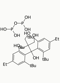 CCc1cc(C(C)(C)C)c(C(O)(c2c(C(C)(C)C)cc(CC)cc2C(C)(C)C)C(CO)(CO)CO)c(C(C)(C)C)c1.OP(O)OP(O)O